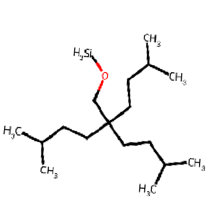 CC(C)CCC(CCC(C)C)(CCC(C)C)CO[SiH3]